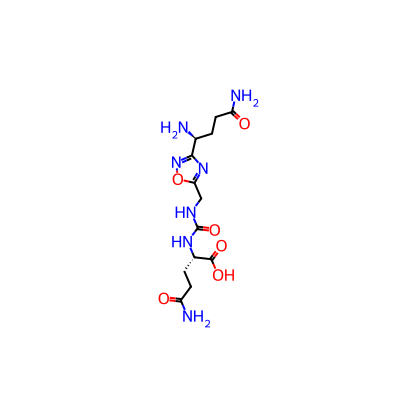 NC(=O)CC[C@H](NC(=O)NCc1nc([C@@H](N)CCC(N)=O)no1)C(=O)O